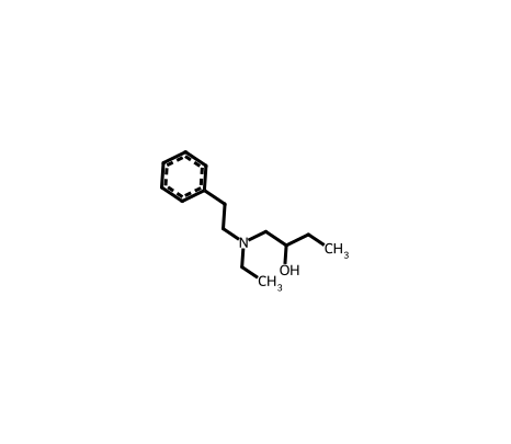 CCC(O)CN(CC)CCc1ccccc1